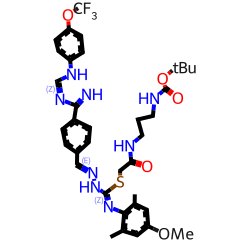 COc1cc(C)c(/N=C(/N/N=C/c2ccc(C(=N)/N=C\Nc3ccc(OC(F)(F)F)cc3)cc2)SCC(=O)NCCCNC(=O)OC(C)(C)C)c(C)c1